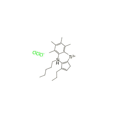 CCCCC[SiH](C1=[C]([Ti+3])CC=C1CCC)c1c(C)c(C)c(C)c(C)c1C.[Cl-].[Cl-].[Cl-]